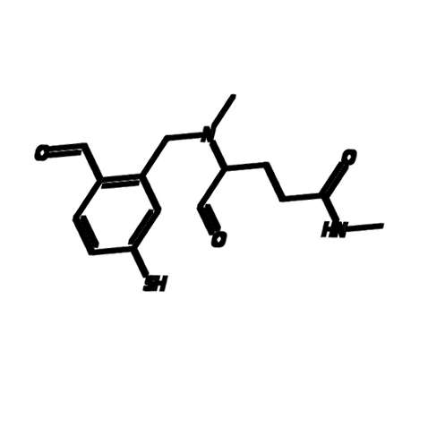 CNC(=O)CCC(C=O)N(C)Cc1cc(S)ccc1C=O